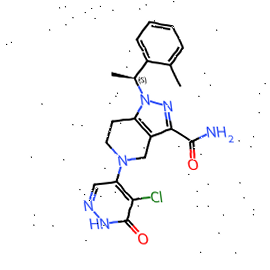 Cc1ccccc1[C@H](C)n1nc(C(N)=O)c2c1CCN(c1cn[nH]c(=O)c1Cl)C2